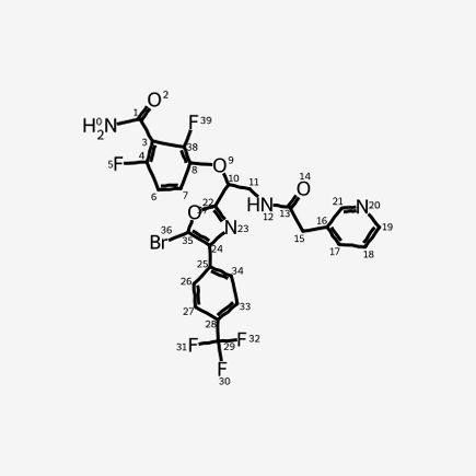 NC(=O)c1c(F)ccc(OC(CNC(=O)Cc2cccnc2)c2nc(-c3ccc(C(F)(F)F)cc3)c(Br)o2)c1F